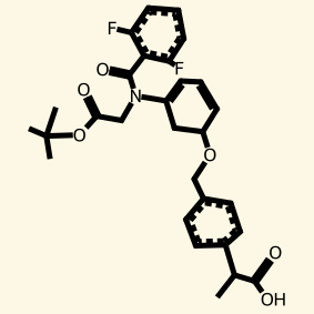 CC(C(=O)O)c1ccc(COC2C=CC=C(N(CC(=O)OC(C)(C)C)C(=O)c3c(F)cccc3F)C2)cc1